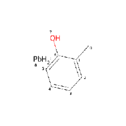 Cc1ccccc1O.[PbH2]